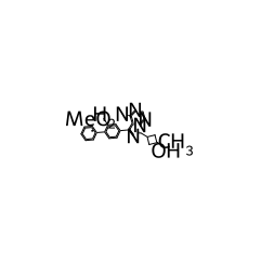 COc1cc(-c2nc(C3CC(C)(O)C3)n3ncnc(N)c23)ccc1-c1[c]cccc1